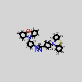 c1cc(N2c3ccccc3Oc3ccccc32)cc(-n2cc(-c3ccc(N4c5ccccc5Sc5ccccc54)cc3)nn2)c1